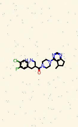 CC1CCc2ncnc(N3CCN(C(=O)C(CN)Cc4ccc(Cl)c(F)c4)CC3)c21